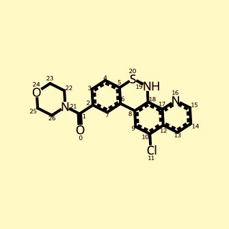 O=C(c1ccc2c(c1)-c1cc(Cl)c3cccnc3c1NS2)N1CCOCC1